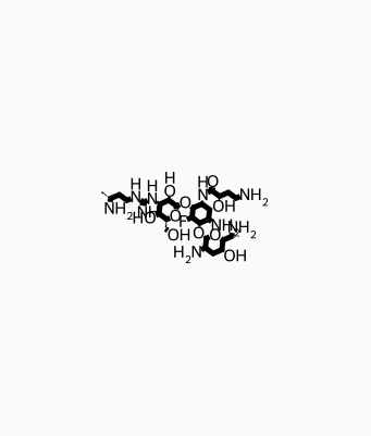 C[C@@H](N)CCNC(=N)N[C@@H]1C(O)[C@@H](CO)OC(OC2C(F)[C@H](O[C@H]3OC(CN)[C@@H](O)CC3N)C(N)C[C@H]2NC(=O)[C@@H](O)CCN)[C@@H]1O